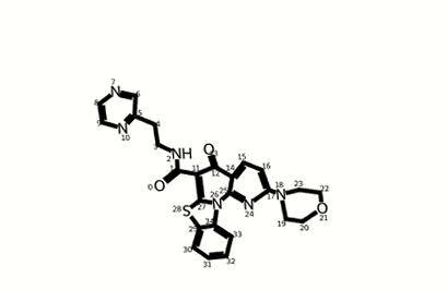 O=C(NCCc1cnccn1)c1c(=O)c2ccc(N3CCOCC3)nc2n2c1sc1ccccc12